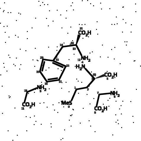 CSCC[C@H](N)C(=O)O.NCC(=O)O.NCC(=O)O.N[C@@H](Cc1ccccc1)C(=O)O